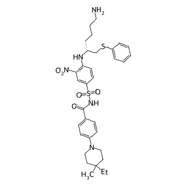 CCC1(C)CCN(c2ccc(C(=O)NS(=O)(=O)c3ccc(N[C@H](CCCCN)CSc4ccccc4)c([N+](=O)[O-])c3)cc2)CC1